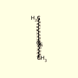 CCCCCCCCCCCCCCCCOC(F)CCCCCCCC